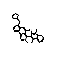 Cc1c2c(c(C)c3ccccc13)-c1c3c(cc4c(CC5CCCC5)cccc4c3cc[n+]1C)O2